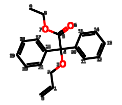 C=CCOC(C(=O)OCC)(c1ccccc1)c1ccccc1